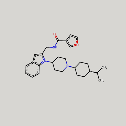 CC(C)[C@H]1CC[C@@H](N2CCC(n3c(CNC(=O)c4ccoc4)cc4ccccc43)CC2)CC1